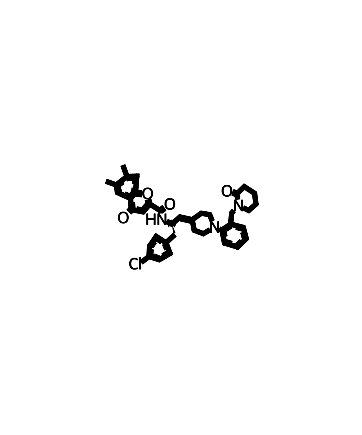 Cc1cc2oc(C(=O)N[C@H](C=C3CCN(c4ccccc4CN4CCCCC4=O)CC3)Cc3ccc(Cl)cc3)cc(=O)c2cc1C